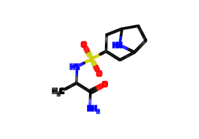 CC(NS(=O)(=O)C1CC2CCC(C1)N2)C(N)=O